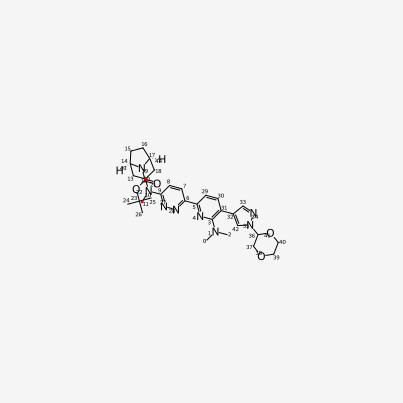 CN(C)c1nc(-c2ccc(N(C)C3C[C@H]4CC[C@@H](C3)N4C(=O)OC(C)(C)C)nn2)ccc1-c1cnn(C2COCCO2)c1